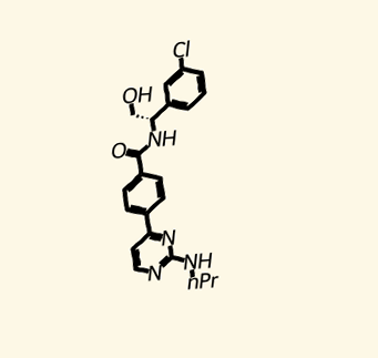 CCCNc1nccc(-c2ccc(C(=O)N[C@H](CO)c3cccc(Cl)c3)cc2)n1